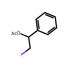 CC(=O)OC(CI)c1ccccc1